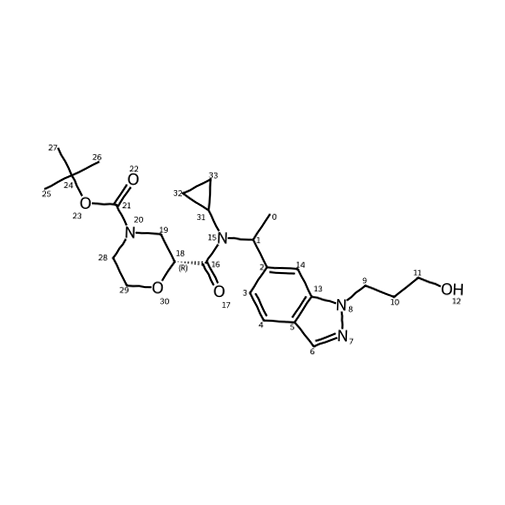 CC(c1ccc2cnn(CCCO)c2c1)N(C(=O)[C@H]1CN(C(=O)OC(C)(C)C)CCO1)C1CC1